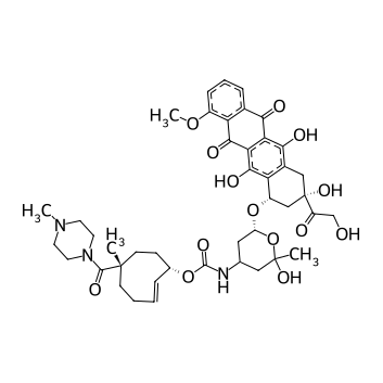 COc1cccc2c1C(=O)c1c(O)c3c(c(O)c1C2=O)C[C@@](O)(C(=O)CO)C[C@@H]3O[C@H]1CC(NC(=O)O[C@@H]2/C=C/CC[C@](C)(C(=O)N3CCN(C)CC3)CC2)CC(C)(O)O1